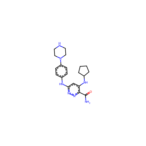 NC(=O)c1nnc(Nc2ccc(N3CCNCC3)cc2)cc1NC1CCCC1